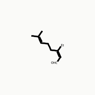 CC/C(=C/C=O)CCC=C(C)C